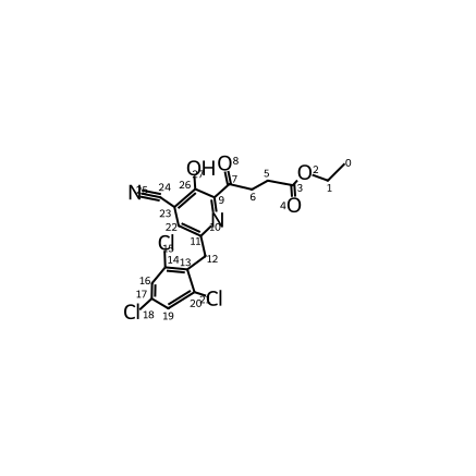 CCOC(=O)CCC(=O)c1nc(Cc2c(Cl)cc(Cl)cc2Cl)cc(C#N)c1O